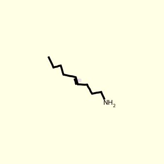 CCCC/C=C/CCCN